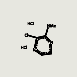 CNc1nccnc1Cl.Cl.Cl